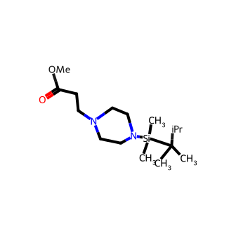 COC(=O)CCN1CCN([Si](C)(C)C(C)(C)C(C)C)CC1